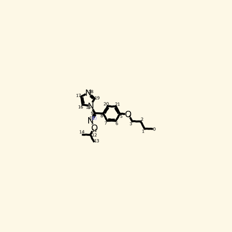 CCCCOc1ccc(/C(=N\OC(C)C)n2ccnc2)cc1